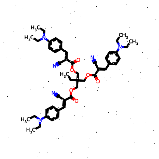 CCN(CC)c1ccc(/C=C(\C#N)C(=O)OCC(CC)(COC(=O)/C(C#N)=C/c2ccc(N(CC)CC)cc2)COC(=O)/C(C#N)=C/c2ccc(N(CC)CC)cc2)cc1